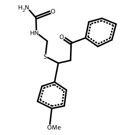 COc1ccc(C(CC(=O)c2ccccc2)SCNC(N)=O)cc1